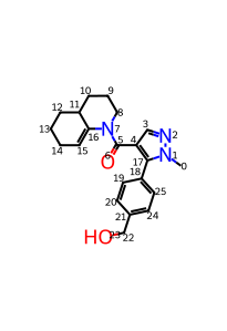 Cn1ncc(C(=O)N2CCCC3CCCC=C32)c1-c1ccc(CO)cc1